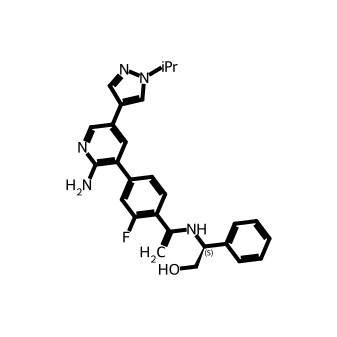 C=C(N[C@H](CO)c1ccccc1)c1ccc(-c2cc(-c3cnn(C(C)C)c3)cnc2N)cc1F